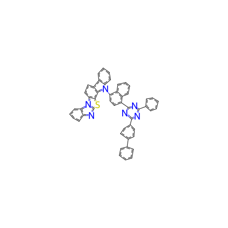 c1ccc(-c2ccc(-c3nc(-c4ccccc4)nc(-c4ccc(-n5c6ccccc6c6ccc7c(sc8nc9ccccc9n87)c65)c5ccccc45)n3)cc2)cc1